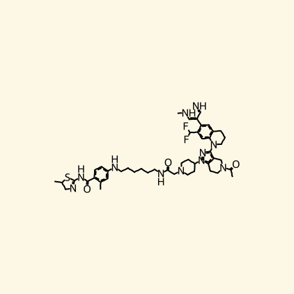 CN/C=C(\C=N)c1cc2c(cc1C(F)F)N(c1nn(C3CCN(CC(=O)NCCCCCCNc4ccc(C(=O)NC5=NCC(C)S5)c(C)c4)CC3)c3c1CN(C(C)=O)CC3)CCC2